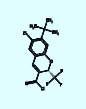 CC(C)(C)c1cc2c(cc1Cl)C=C(C(=O)Cl)[C@@H](C(F)(F)F)O2